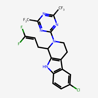 FC(F)=CCC1c2[nH]c3ccc(Cl)cc3c2CCN1c1nc(C(F)(F)F)nc(C(F)(F)F)n1